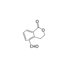 O=Cc1cccc2c1CCOC2=O